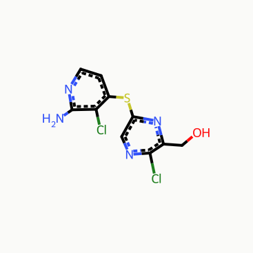 Nc1nccc(Sc2cnc(Cl)c(CO)n2)c1Cl